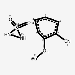 CCC(C)Oc1ccccc1C#N.O=S1(=O)NN1